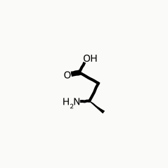 C[C@@H](N)CC(=O)O